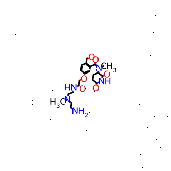 CN(CCN)CCNC(=O)COc1ccc(C=O)c(C(=O)N(C)C2CCC(=O)NC2=O)c1